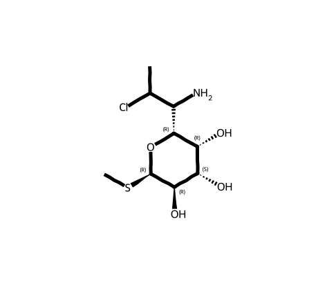 CS[C@H]1O[C@H](C(N)C(C)Cl)[C@H](O)[C@H](O)[C@H]1O